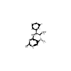 COc1cnc(Cl)nc1NC(CO)c1ccccc1